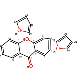 O=c1c2ccccc2oc2ccccc12.c1ccoc1.c1ccoc1